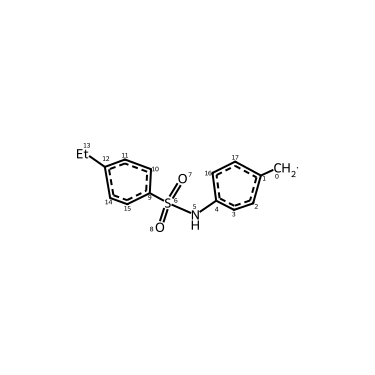 [CH2]c1ccc(NS(=O)(=O)c2ccc(CC)cc2)cc1